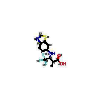 CC(C(=O)O)C(Nc1ccc2ncsc2c1)C(F)(F)F